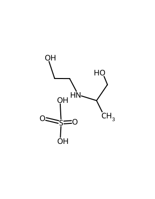 CC(CO)NCCO.O=S(=O)(O)O